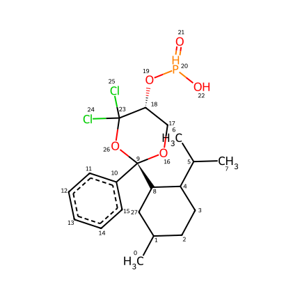 CC1CCC(C(C)C)C([C@]2(c3ccccc3)OC[C@@H](O[PH](=O)O)C(Cl)(Cl)O2)C1